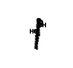 CCCCCCCCCCCCCC(O)CCCCC(O)CC(=O)OC